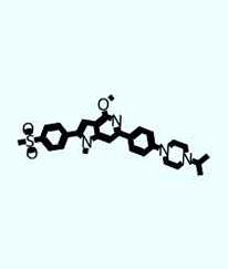 COc1nc(-c2ccc(N3CCN(C(C)C)CC3)cc2)cc2c1cc(-c1ccc(S(C)(=O)=O)cc1)n2C